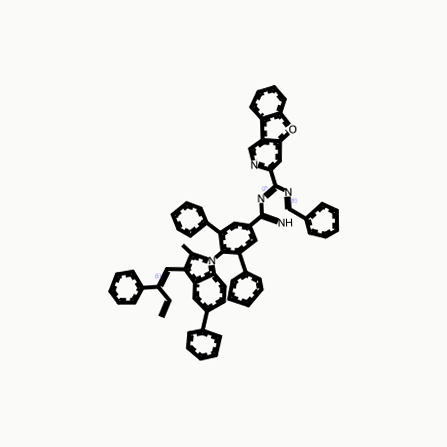 C=C/C(=C\c1c(C)n(-c2c(-c3ccccc3)cc(C(=N)/N=C(\N=C\c3ccccc3)c3cc4oc5ccccc5c4cn3)cc2-c2ccccc2)c2ccc(-c3ccccc3)cc12)c1ccccc1